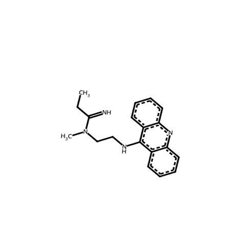 CCC(=N)N(C)CCNc1c2ccccc2nc2ccccc12